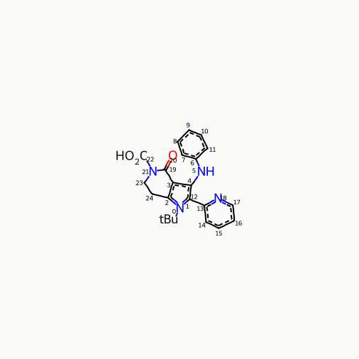 CC(C)(C)n1c2c(c(Nc3ccccc3)c1-c1ccccn1)C(=O)N(C(=O)O)CC2